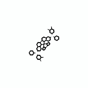 Cc1ccc(N(c2ccccc2)c2ccc3c4c(ccc3c2)-c2ccc3cc(N(c5ccccc5)c5ccc(C)c(C)c5)ccc3c2C42c3ccccc3-c3ccccc32)cc1C